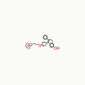 Oc1ccc2c(c1)CC[C@H](c1ccccc1)[C@@H]2C1C=CC(OCCCC2CC3(C2)OCCO3)=CC1